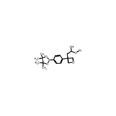 CCOC(O)CC1(c2ccc(B3OC(C)(C)C(C)(C)O3)cc2)COC1